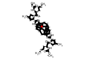 COC(=O)N[C@@H](CCSC)C(=O)N1CC(C)=C[C@H]1c1nc2cc(-c3cc4ccc3CCc3ccc(c(-c5ccc6[nH]c([C@@H]7C=C(C)CN7C(=O)[C@H](CCSC)NC(=O)OC)nc6c5)c3)CC4)ccc2[nH]1